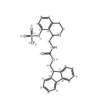 O=C(NCC1OCCc2cccc(OS(=O)(=O)C(F)(F)F)c21)OCC1c2ccccc2-c2ccccc21